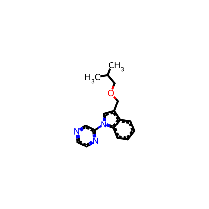 CC(C)COCc1cn(-c2cnccn2)c2ccccc12